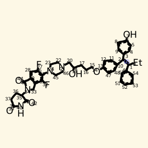 CC/C(=C(\c1ccc(O)cc1)c1ccc(OCCCC(O)CN2CCN(c3c(F)cc4c(c3F)CN(C3CCC(=O)NC3=O)C4=O)CC2)cc1)c1ccccc1